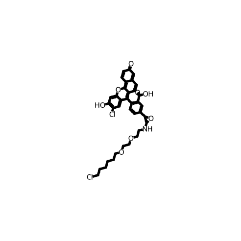 O=C(O)c1cc(C2OC2NCCOCCOCCCCCCCl)ccc1-c1c2cc(Cl)c(O)cc2oc2c1ccc1cc(=O)ccc12